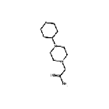 NC(=O)CN1CCN(C2CCCCC2)CC1